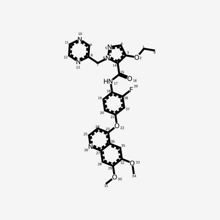 CCOc1cnn(Cc2cnccn2)c1C(=O)Nc1ccc(Oc2ccnc3cc(OC)c(OC)cc23)cc1F